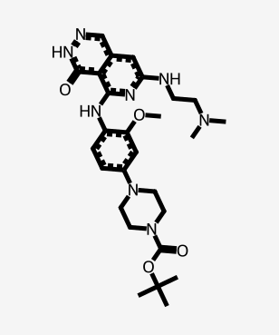 COc1cc(N2CCN(C(=O)OC(C)(C)C)CC2)ccc1Nc1nc(NCCN(C)C)cc2cn[nH]c(=O)c12